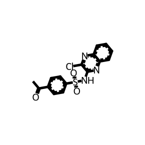 CC(=O)c1ccc(S(=O)(=O)Nc2nc3ccccc3nc2Cl)cc1